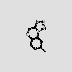 Cc1ccc2ncc3nnnn3c2c1